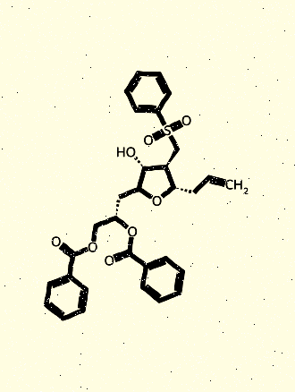 C=CC[C@@H]1OC(C[C@@H](COC(=O)c2ccccc2)OC(=O)c2ccccc2)[C@H](O)[C@H]1CS(=O)(=O)c1ccccc1